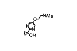 CNCCOc1cnc(C2(O)CC2)nc1